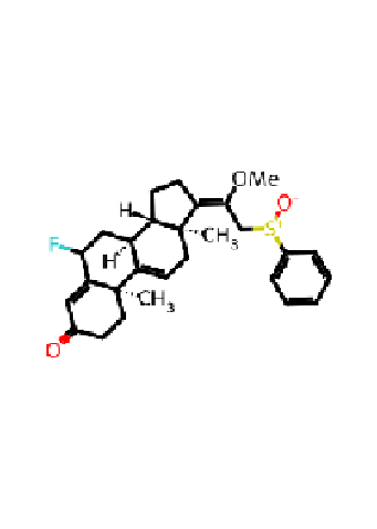 COC(C[S+]([O-])c1ccccc1)=C1CC[C@H]2[C@@H]3CC(F)C4=CC(=O)CC[C@]4(C)C3=CC[C@]12C